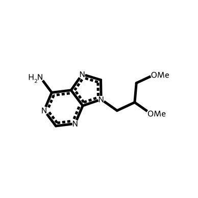 COCC(Cn1cnc2c(N)ncnc21)OC